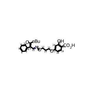 CCCCc1oc2ccccc2c1/C=N/OCCCOc1ccc(C(=O)O)c(O)c1